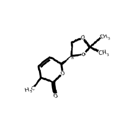 CC1C=CC([C@H]2COC(C)(C)O2)OC1=O